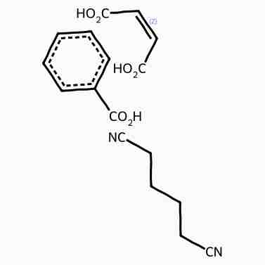 N#CCCCCC#N.O=C(O)/C=C\C(=O)O.O=C(O)c1ccccc1